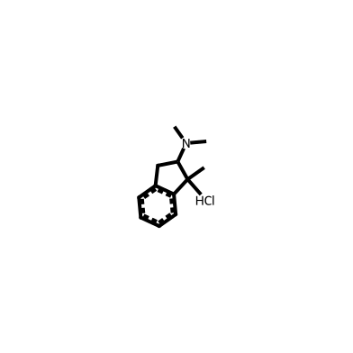 CN(C)C1Cc2ccccc2C1(C)C.Cl